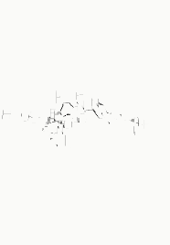 COC[C@]12C[C@H]1[C@](C)(c1cc(NC(=O)c3cnc(OC[C@H]4CC4(F)F)cn3)cc(F)c1F)N=C(N)S2